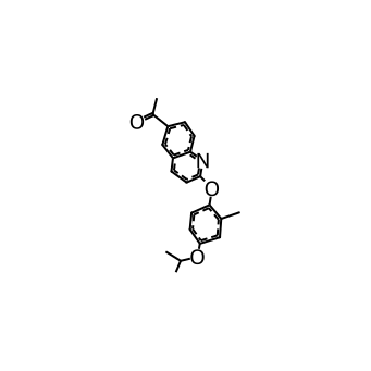 CC(=O)c1ccc2nc(Oc3ccc(OC(C)C)cc3C)ccc2c1